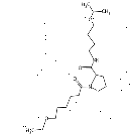 CCOCCCCCC(=O)N1CCCC1C(=O)NCCCCOC(C)C